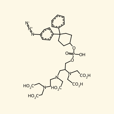 [N-]=[N+]=Nc1ccc(C2(c3ccccc3)CCC(OP(=O)(O)OCC(CN(CCN(CC(=O)O)CC(=O)O)CC(=O)O)N(CC(=O)O)CC(=O)O)CC2)cc1